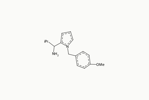 COc1ccc(Cn2cccc2C(N)C(C)C)cc1